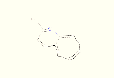 CC(C)c1ccc2c(n1)=CCC=CC=2